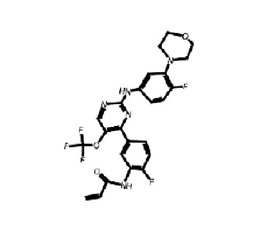 C=CC(=O)Nc1cc(-c2nc(Nc3ccc(F)c(N4CCOCC4)c3)ncc2OC(F)(F)F)ccc1F